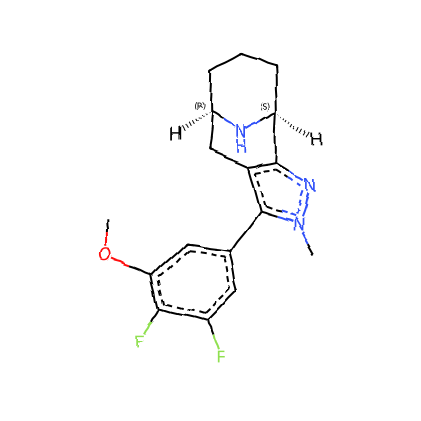 COc1cc(-c2c3c(nn2C)[C@@H]2CCC[C@H](C3)N2)cc(F)c1F